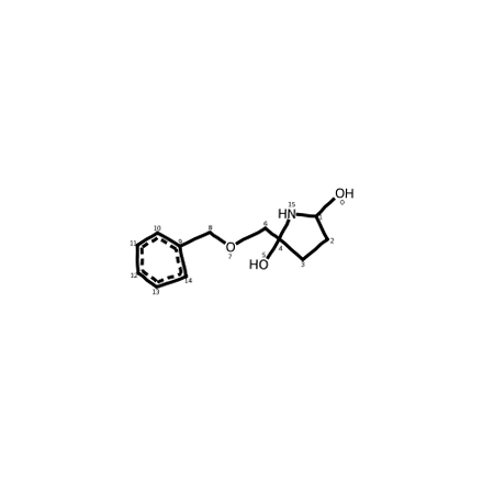 OC1CCC(O)(COCc2ccccc2)N1